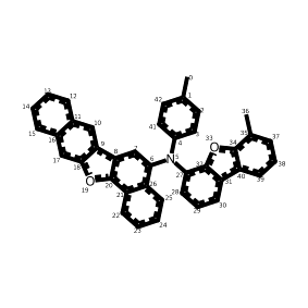 Cc1ccc(N(c2cc3c4cc5ccccc5cc4oc3c3ccccc23)c2cccc3c2oc2c(C)cccc23)cc1